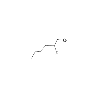 CCCCC(F)C[O]